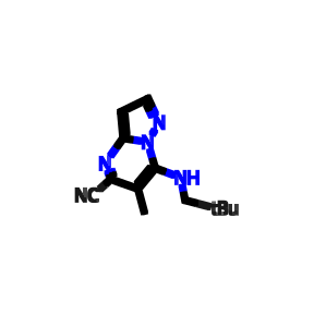 Cc1c(C#N)nc2ccnn2c1NCC(C)(C)C